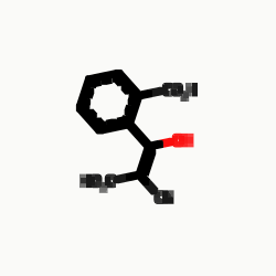 N#CC(C(=O)O)=C(O)c1ccccc1C(=O)O